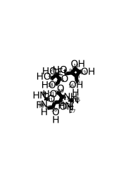 CCC(O)(CO)C(OC(O)C1C(O)C(O)C1CO)C(O)OC(O)C(NC(=N)NF)C(O)C(OC(=N)NF)C(C)O